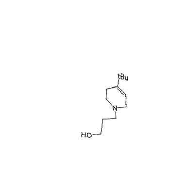 CC(C)(C)C1=CCN(CCCO)CC1